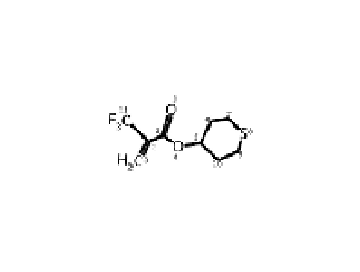 C=C(C(=O)OC1CCSCC1)C(F)(F)F